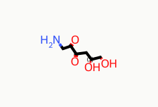 NCC(=O)C(=O)C[C@H](O)CO